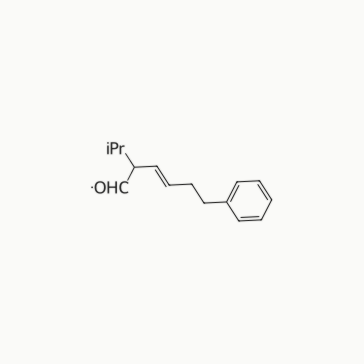 CC(C)C([C]=O)/C=C/CCc1ccccc1